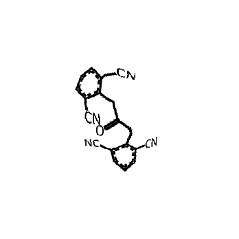 N#Cc1cccc(C#N)c1CC(=O)Cc1c(C#N)cccc1C#N